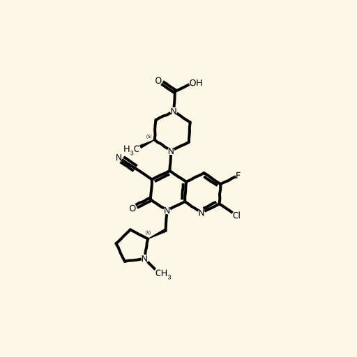 C[C@H]1CN(C(=O)O)CCN1c1c(C#N)c(=O)n(C[C@@H]2CCCN2C)c2nc(Cl)c(F)cc12